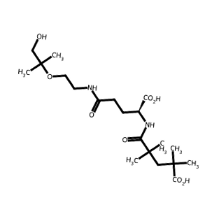 CC(C)(CO)OCCNC(=O)CC[C@H](NC(=O)C(C)(C)CC(C)(C)C(=O)O)C(=O)O